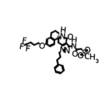 CS(=O)(=O)CC(=O)Nc1nn(CCCc2ccccc2)c2c1C(=O)N[C@@]1(CCCc3cc(OCCCC(F)(F)F)ccc31)C2